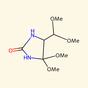 COC(OC)C1NC(=O)NC1(OC)OC